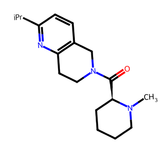 CC(C)c1ccc2c(n1)CCN(C(=O)[C@@H]1CCCCN1C)C2